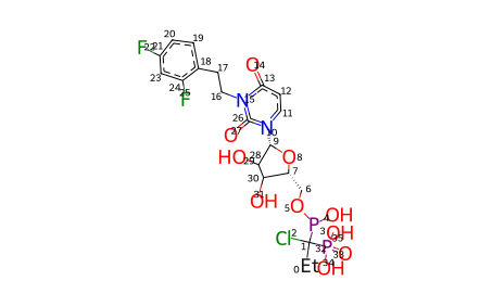 CCC(Cl)(P(O)OC[C@H]1O[C@@H](n2ccc(=O)n(CCc3ccc(F)cc3F)c2=O)C(O)C1O)P(=O)(O)O